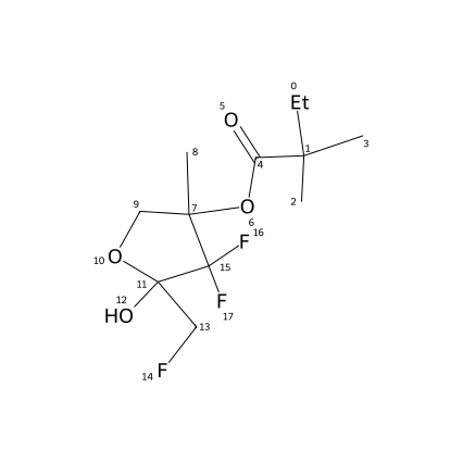 CCC(C)(C)C(=O)OC1(C)COC(O)(CF)C1(F)F